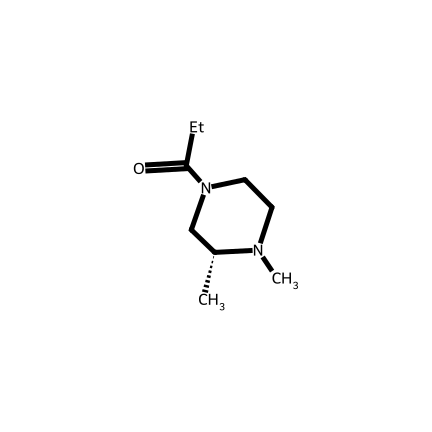 CCC(=O)N1CCN(C)[C@H](C)C1